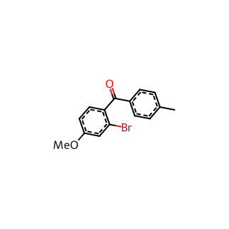 COc1ccc(C(=O)c2ccc(C)cc2)c(Br)c1